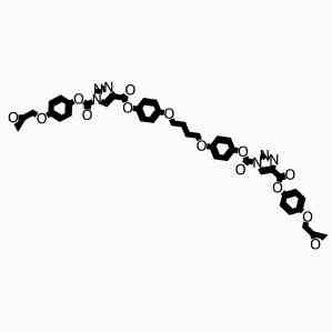 O=C(Oc1ccc(OCC2CO2)cc1)c1cn(C(=O)Oc2ccc(OCCCCOc3ccc(OC(=O)c4cn(C(=O)Oc5ccc(OCC6CO6)cc5)nn4)cc3)cc2)nn1